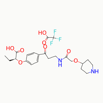 CC[C@H](Oc1ccc(C(=O)CCNC(=O)COC2CCNCC2)cc1)C(=O)O.O=C(O)C(F)(F)F